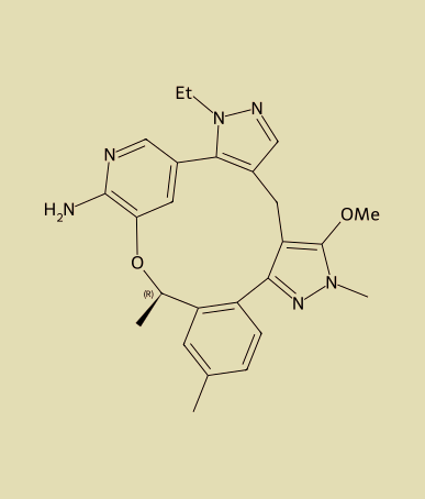 CCn1ncc2c1-c1cnc(N)c(c1)O[C@H](C)c1cc(C)ccc1-c1nn(C)c(OC)c1C2